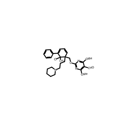 COc1nc(OCC2(CCCN3CCCCC3)C=CC=C(c3ccccc3)C2(C)Cl)nc(OC)c1C=O